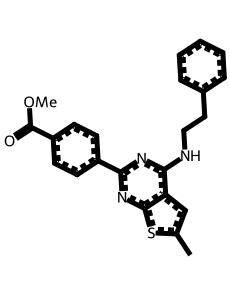 COC(=O)c1ccc(-c2nc(NCCc3ccccc3)c3cc(C)sc3n2)cc1